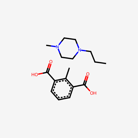 CCCN1CCN(C)CC1.Cc1c(C(=O)O)cccc1C(=O)O